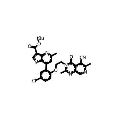 Cc1cc(-c2cc(Cl)ccc2OCCn2c(C)nc3cnc(C)c(C#N)c3c2=O)c2scc(C(=O)OC(C)(C)C)c2n1